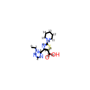 CCn1ncnc1-c1nc(N2CCCCC2)sc1C(=O)O